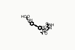 CC(C)N1C(=O)N(Cc2nc[nH]c(=O)c2O)CC1c1ccc(C#Cc2ccc(CNCC(=O)O)cc2)cc1